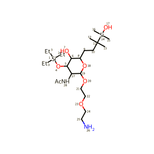 CC[Si](CC)(CC)OC1C(O)C(CCC(C)(C)[Si](C)(C)O)OC(OCCOCCN)C1NC(C)=O